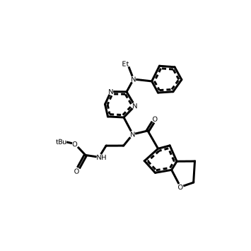 CCN(c1ccccc1)c1nccc(N(CCNC(=O)OC(C)(C)C)C(=O)c2ccc3c(c2)CCO3)n1